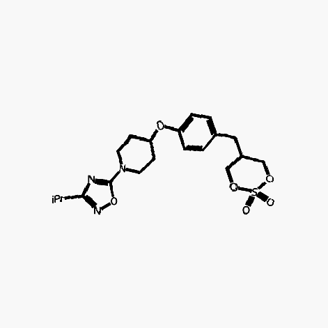 CC(C)c1noc(N2CCC(Oc3ccc(CC4COS(=O)(=O)OC4)cc3)CC2)n1